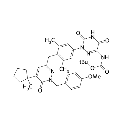 COc1ccc(Cn2nc(Cc3c(C)cc(-n4nc(NC(=O)OC(C)(C)C)c(=O)[nH]c4=O)cc3C)cc(C3(C)CCCC3)c2=O)cc1